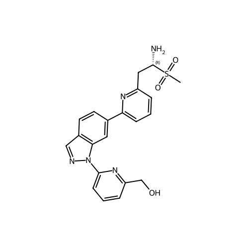 CS(=O)(=O)[C@@H](N)Cc1cccc(-c2ccc3cnn(-c4cccc(CO)n4)c3c2)n1